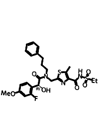 CCS(=O)(=O)NC(=O)c1nc(CN(CCCc2ccccc2)C(=O)[C@H](O)c2ccc(OC)cc2F)sc1C